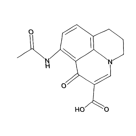 CC(=O)Nc1ccc2c3c1c(=O)c(C(=O)O)cn3CCC2